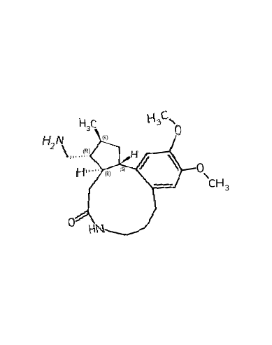 COc1cc2c(cc1OC)[C@H]1C[C@H](C)[C@@H](CN)[C@@H]1CC(=O)NCCC2